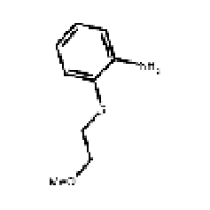 COCCSc1ccccc1N